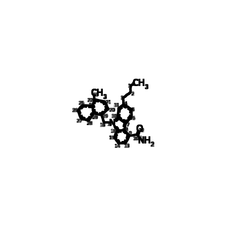 CCCCc1c[c]c2c3c(C(N)=O)cccc3n(Cc3ccc(C)c4ccccc34)c2c1